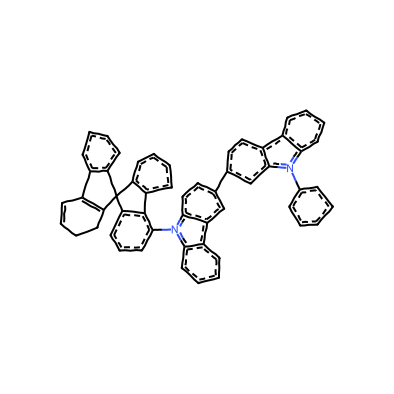 C1=CC2=C(CC1)C1(c3ccccc32)c2ccccc2-c2c(-n3c4ccccc4c4cc(-c5ccc6c7ccccc7n(-c7ccccc7)c6c5)ccc43)cccc21